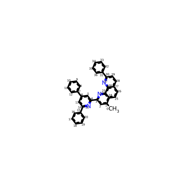 Cc1cc(-c2cc(-c3ccccc3)cc(-c3ccccc3)n2)nc2c1ccc1ccc(-c3ccccc3)nc12